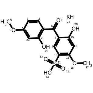 COc1ccc(C(=O)c2cc(S(=O)(=O)O)c(OC)cc2O)c(O)c1.[KH]